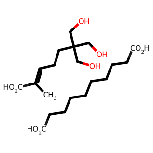 CC(=CCCC(CO)(CO)CO)C(=O)O.O=C(O)CCCCCCCCC(=O)O